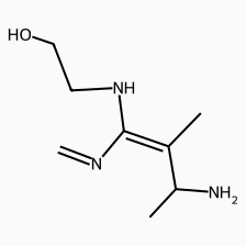 C=N/C(NCCO)=C(/C)C(C)N